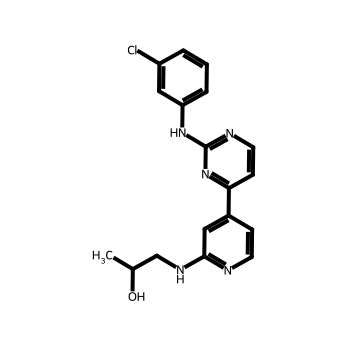 CC(O)CNc1cc(-c2ccnc(Nc3cccc(Cl)c3)n2)ccn1